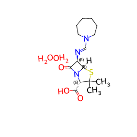 CC1(C)S[C@@H]2[C@H](N=CN3CCCCCC3)C(=O)N2[C@H]1C(=O)O.O.O